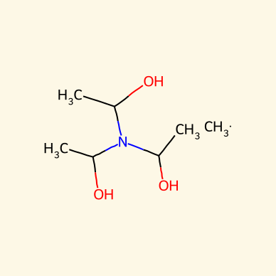 CC(O)N(C(C)O)C(C)O.[CH3]